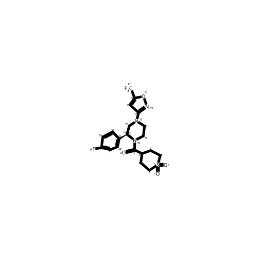 O=C(C1CCS(=O)(=O)CC1)N1CCN(c2cc(C(F)(F)F)on2)C[C@@H]1c1ccc(F)cc1